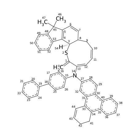 C=C1S[C@H]2C3=C(C=CC2C/C=C\C=C/1N(c1ccc(-c2ccccc2)cc1)c1ccc2c(c1)c1c(c4ccccc42)CCC=C1)C(C)(C)c1ccccc13